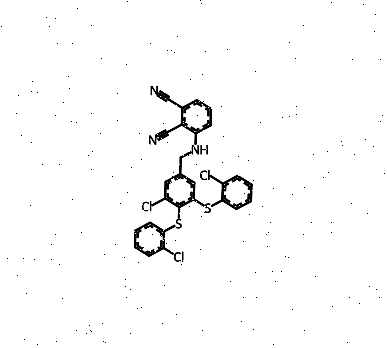 N#Cc1cccc(NCc2cc(Cl)c(Sc3ccccc3Cl)c(Sc3ccccc3Cl)c2)c1C#N